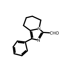 O=Cc1nc(-c2ccccc2)c2n1CCCC2